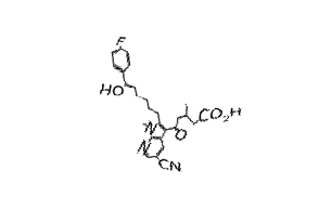 CC(CC(=O)O)CC(=O)c1c(CCCCCC(O)c2ccc(F)cc2)n(C)c2ncc(C#N)cc12